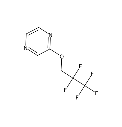 FC(F)(F)C(F)(F)COc1cn[c]cn1